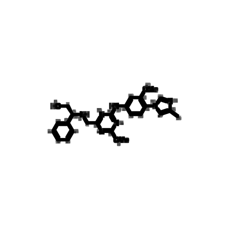 COc1nc(CN[C@H](CO)c2ccccc2)nc(Nc2ccc(-n3cnc(C)c3)c(OC)c2)n1